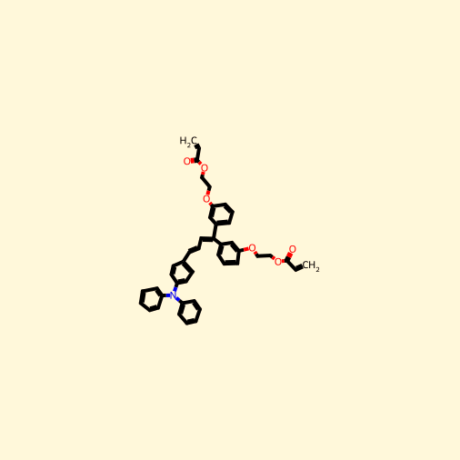 C=CC(=O)OCCOc1cccc(C(=CC=Cc2ccc(N(c3ccccc3)c3ccccc3)cc2)c2cccc(OCCOC(=O)C=C)c2)c1